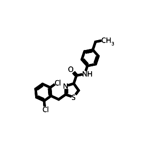 CCc1ccc(NC(=O)C2CSC(Cc3c(Cl)cccc3Cl)=N2)cc1